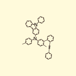 Cc1ccc(N(c2ccc(C)c(-c3ccccc3C#Cc3ccccc3)c2)c2ccc3c(c2)c2ccccc2n3-c2ccccc2)cc1